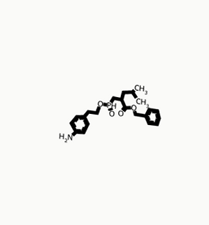 CC(C)CC(C[PH](=O)OCCc1ccc(N)cc1)C(=O)OCc1ccccc1